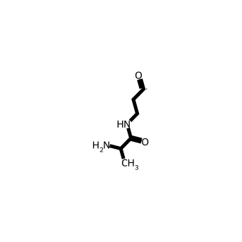 CC(N)C(=O)NCC[C]=O